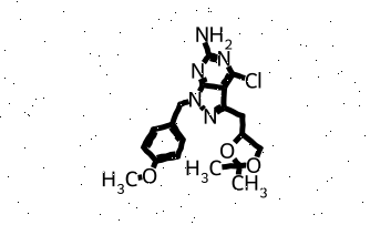 COc1ccc(Cn2nc(CC3COC(C)(C)O3)c3c(Cl)nc(N)nc32)cc1